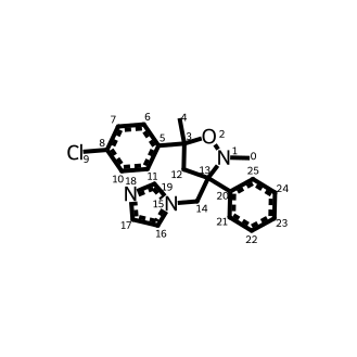 CN1OC(C)(c2ccc(Cl)cc2)CC1(Cn1ccnc1)c1ccccc1